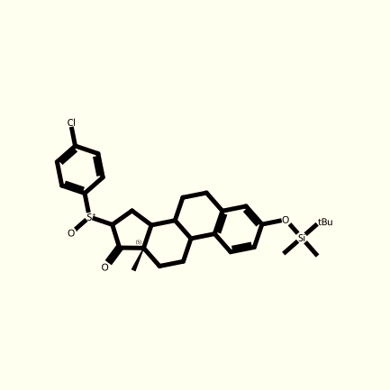 CC(C)(C)[Si](C)(C)Oc1ccc2c(c1)CCC1C2CC[C@]2(C)C(=O)C([S+]([O-])c3ccc(Cl)cc3)CC12